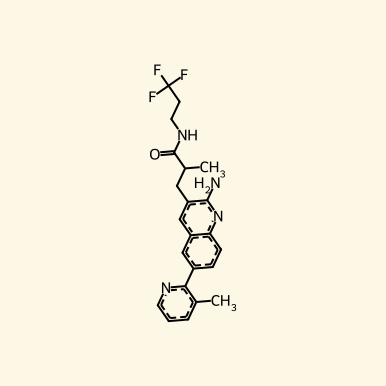 Cc1cccnc1-c1ccc2nc(N)c(CC(C)C(=O)NCCC(F)(F)F)cc2c1